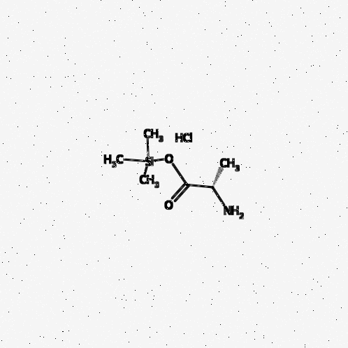 C[C@H](N)C(=O)O[Si](C)(C)C.Cl